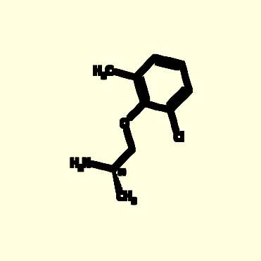 Cc1cccc(Cl)c1OC[C@H](C)N